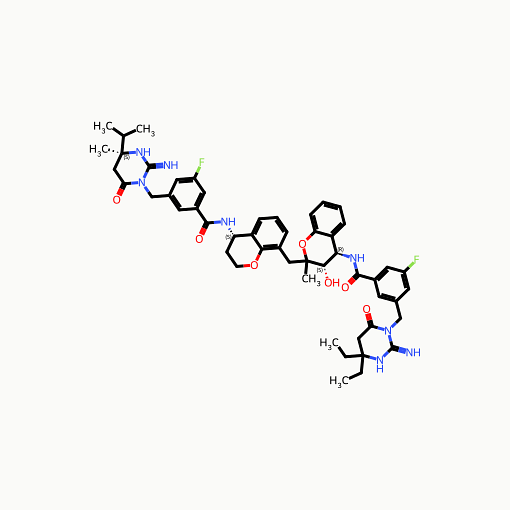 CCC1(CC)CC(=O)N(Cc2cc(F)cc(C(=O)N[C@@H]3c4ccccc4OC(C)(Cc4cccc5c4OCC[C@@H]5NC(=O)c4cc(F)cc(CN5C(=N)N[C@](C)(C(C)C)CC5=O)c4)[C@H]3O)c2)C(=N)N1